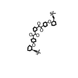 C[Si](C)(C)C#Cc1ccccc1Oc1ccc(C(=O)C(=O)c2cccc(C(=O)C(=O)c3ccc(Oc4ccccc4C#C[Si](C)(C)C)cc3)c2)cc1